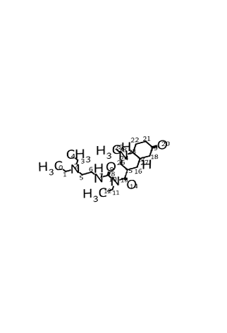 CCN(CC)CCNC(=O)N(CC)C(=O)[C@@H]1C[C@@H]2CC(=O)CC[C@H]2N(C)C1